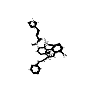 CN(C(=O)/C=C/c1ccoc1)[C@H]1CC[C@H]2[C@H]3Cc4c(O)ccc5c4[C@@]2(CCN3CCc2ccccc2)[C@H]1O5